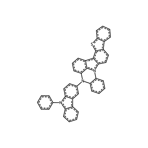 c1ccc(-n2c3ccccc3c3cc(N4c5ccccc5-n5c6ccc7c8ccccc8sc7c6c6cccc4c65)ccc32)cc1